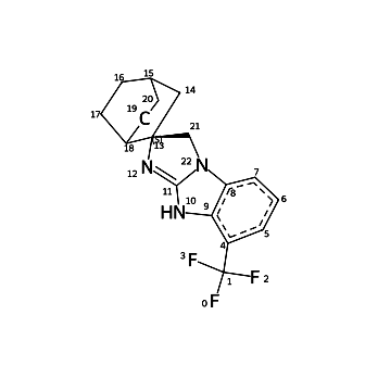 FC(F)(F)c1cccc2c1NC1=N[C@]3(CC4CCC3CC4)CN12